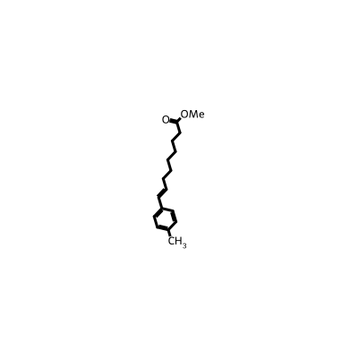 COC(=O)CCCCCCC=Cc1ccc(C)cc1